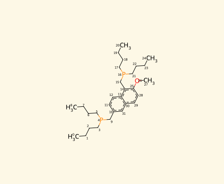 CCCCP(CCCC)Cc1ccc2c(CP(CCCC)CCCC)c(OC)ccc2c1